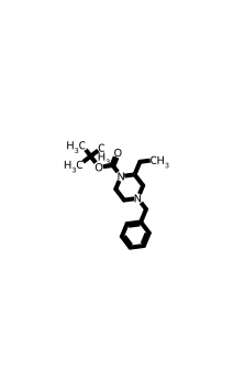 CCC1CN(Cc2ccccc2)CCN1C(=O)OC(C)(C)C